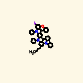 CCCCc1cc2c3c(c1)-n1c4ccccc4c4cccc(c41)B3c1cc3c(cc1N2c1ccccc1)N(c1ccccc1)c1cc(I)cc2c1B3c1ccccc1O2